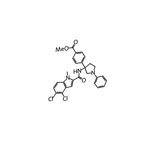 COC(=O)c1ccc(C2(NC(=O)c3cc4c(Cl)c(Cl)ccc4n3C)CCN(c3ccccc3)C2)cc1